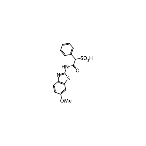 COc1ccc2nc(NC(=O)C(c3ccccc3)S(=O)(=O)O)sc2c1